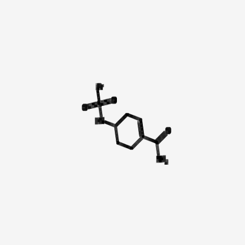 CC(C)S(=O)(=O)NC1CC=C(C(N)=O)CC1